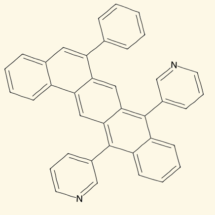 c1ccc(-c2cc3ccccc3c3cc4c(-c5cccnc5)c5ccccc5c(-c5cccnc5)c4cc23)cc1